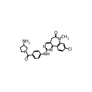 CN1C(=O)Cc2cnc(Nc3ccc(C(=O)N4CCC(N)C4)cc3)nc2-c2ccc(Cl)cc21